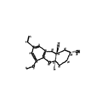 CCc1cc2c(c(OC)c1)O[C@]1(C)CC[C@@H](O)C[C@H]1C2